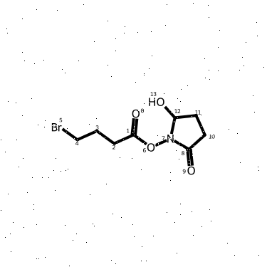 O=C(CCCBr)ON1C(=O)CCC1O